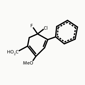 COC1=C(C(=O)O)CC(F)(Cl)C(c2ccccc2)=C1